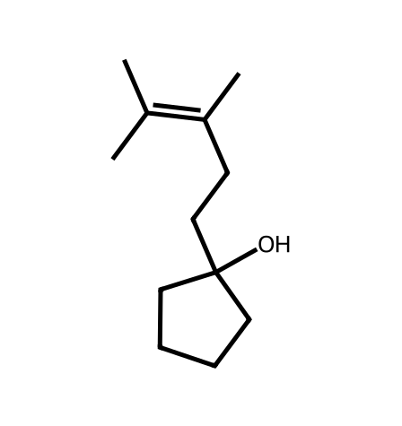 CC(C)=C(C)CCC1(O)CCCC1